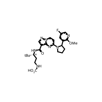 COc1ncc(F)cc1C1CCCN1c1ccn2ncc(C(=O)N[C@H](CCNC(=O)O)C(C)(C)C)c2n1